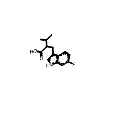 CC(C)C(Cc1c[nH]c2cc(F)ccc12)C(=O)O